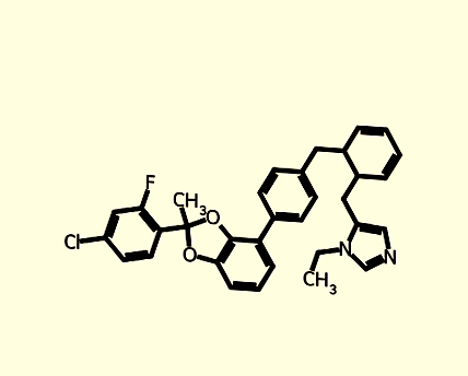 CCn1cncc1CC1C=CC=CC1Cc1ccc(-c2cccc3c2OC(C)(c2ccc(Cl)cc2F)O3)cc1